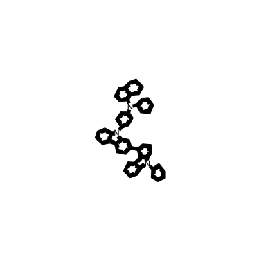 c1ccc(N(c2ccc(-n3c4ccccc4c4ccc(-c5cccc6c5c5ccccc5n6-c5ccccc5)cc43)cc2)c2cccc3ccccc23)cc1